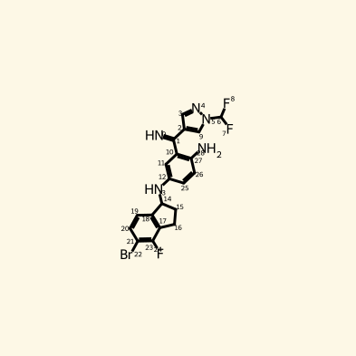 N=C(c1cnn(C(F)F)c1)c1cc(NC2CCc3c2ccc(Br)c3F)ccc1N